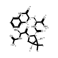 CC(C)(C)[C@H](NC(=O)C(F)(F)F)C(=O)N1C[C@H]2[C@@H]([C@H]1C(=O)N[C@@H](C[C@@H]1Oc3ccccc3NC1=O)C(N)=O)C2(C)C